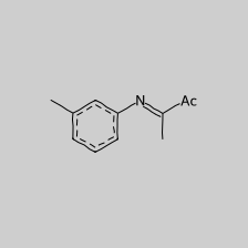 CC(=O)C(C)=Nc1cccc(C)c1